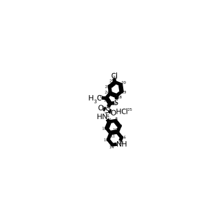 Cc1c(S(=O)(=O)Nc2ccc3c(c2)CCNC3)sc2ccc(Cl)cc12.Cl